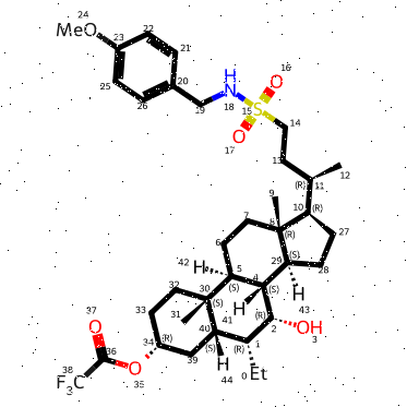 CC[C@H]1[C@@H](O)[C@@H]2[C@H](CC[C@]3(C)[C@@H]([C@H](C)CCS(=O)(=O)NCc4ccc(OC)cc4)CC[C@@H]23)[C@@]2(C)CC[C@@H](OC(=O)C(F)(F)F)C[C@@H]12